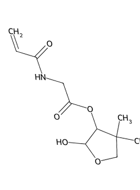 C=CC(=O)NCC(=O)OC1C(O)OCC1(C)C